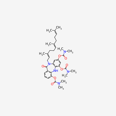 CC(C)=CCC/C(C)=C/CC/C(C)=C/CN1C(=O)c2cccc(OC(=O)N(C)C)c2Nc2c(OC(=O)N(C)C)cc(OC(=O)N(C)C)cc21